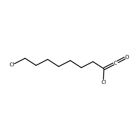 O=C=C(Cl)CCCCCCCCl